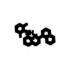 Cc1cccc(C)c1Nc1cccc2ccc(-c3cccc4ccccc34)nc12